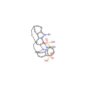 CCn1c2ccc3cc2c2c4c(c(N(C=O)c5ccccc5P(=O)(O)O)c(c21)N(C=O)c1cc(ccc1P(=O)(O)O)CC4)CC3